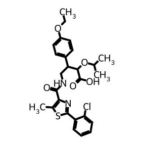 CCOc1ccc(C(CNC(=O)c2nc(-c3ccccc3Cl)sc2C)C(OC(C)C)C(=O)O)cc1